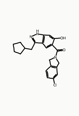 O=C(c1cc2c(CC3CCCC3)n[nH]c2cc1O)N1Cc2ccc(Cl)cc2C1